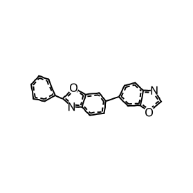 c1ccc(-c2nc3ccc(-c4ccc5ncoc5c4)cc3o2)cc1